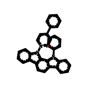 c1ccc(-c2cc[n+](-n3c4ccccc4c4ccc5c6ccccc6n(-c6ccccc6)c5c43)nc2)cc1